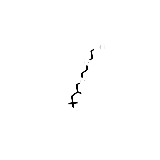 CC(C)(C)CC(O)COCCOCCO